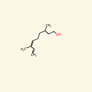 C=C/C(C)=C\CCC(C)CCO